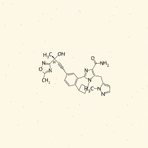 Cc1nc([C@](C)(O)C#Cc2ccc3c(c2)-c2nc(C(N)=O)c(Cc4ccnn4C)n2C2CC3C2)no1